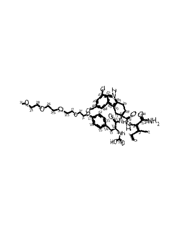 CCC(C)C(NC(=O)[C@@]1(NC(=O)[C@H](Cc2ccc(OCCOCCOCCOCCOC)cc2)NC(=O)O)CCc2[nH]c3c(Cl)cc(Cl)cc3c2C1)C(N)=O